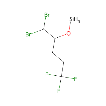 FC(F)(F)CCC(O[SiH3])C(Br)Br